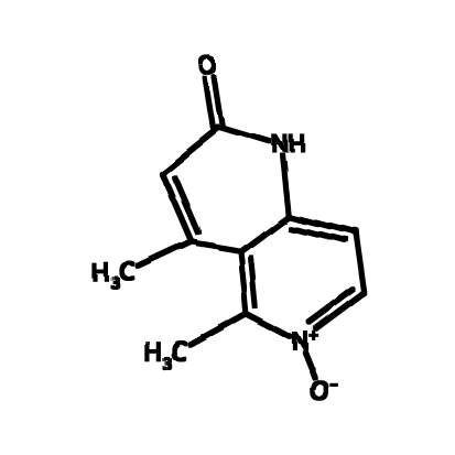 Cc1cc(=O)[nH]c2cc[n+]([O-])c(C)c12